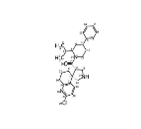 CC(C)C1CC(c2ccccc2)CCN1C(=O)[C@@H]1CNC[C@]12CCCc1nc(Cl)ccc12